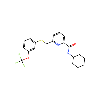 O=C(NC1CCCCC1)c1cccc(CSc2cccc(OC(F)(F)F)c2)n1